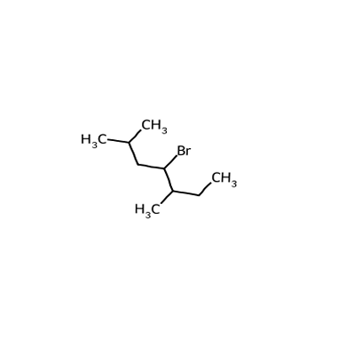 CCC(C)C(Br)CC(C)C